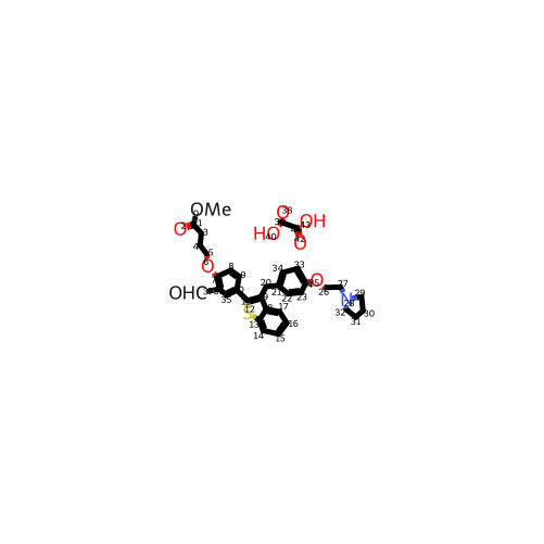 COC(=O)CCCOc1ccc(-c2sc3ccccc3c2Cc2ccc(OCCN3CCCC3)cc2)cc1C=O.O=C(O)C(=O)O